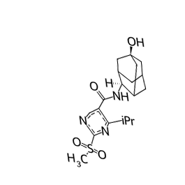 CC(C)c1nc(S(C)(=O)=O)ncc1C(=O)N[C@H]1C2CC3CC1C[C@@](O)(C3)C2